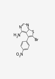 Nc1ncnc2sc(Br)c(-c3ccc([N+](=O)[O-])cc3)c12